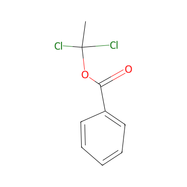 CC(Cl)(Cl)OC(=O)c1ccccc1